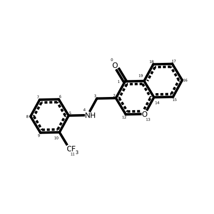 O=c1c(CNc2ccccc2C(F)(F)F)coc2ccccc12